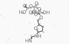 N=CNC1CCC(COP(=O)(O)OP(=O)(O)OP(=O)(O)O)O1